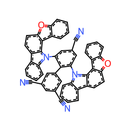 N#Cc1cc(C#N)cc(-c2c(-n3c4ccccc4c4ccc5oc6ccccc6c5c43)cc(C#N)cc2-n2c3ccccc3c3ccc4oc5ccccc5c4c32)c1